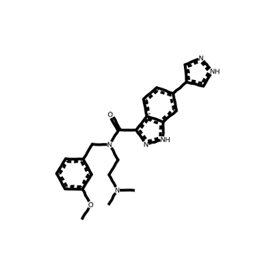 COc1cccc(CN(CCN(C)C)C(=O)c2n[nH]c3cc(-c4cn[nH]c4)ccc23)c1